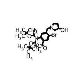 CC(C)(C)OC(=O)N(C(=O)OC(C)(C)C)c1cc(CN2CCC(O)C2)c(Br)cc1C(=O)O